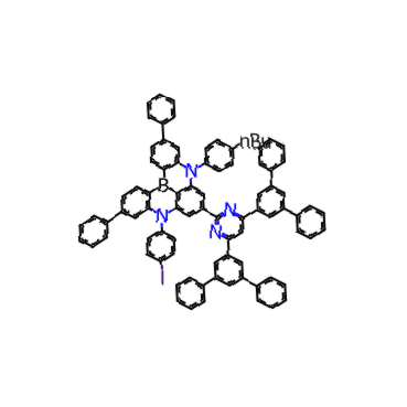 CCCCc1ccc(N2c3cc(-c4ccccc4)ccc3B3c4ccc(-c5ccccc5)cc4N(c4ccc(I)cc4)c4cc(-c5nc(-c6cc(-c7ccccc7)cc(-c7ccccc7)c6)cc(-c6cc(-c7ccccc7)cc(-c7ccccc7)c6)n5)cc2c43)cc1